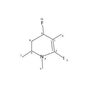 CC1=C(I)N(C)C(C)CC1F